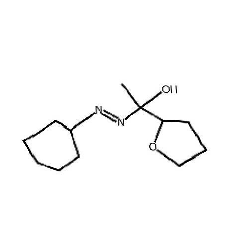 CC(O)(N=NC1CCCCC1)C1CCCO1